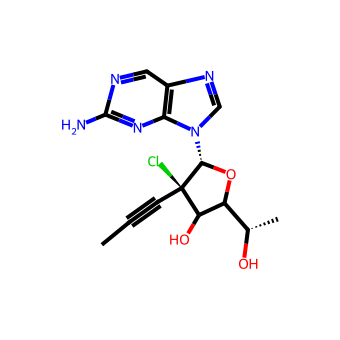 CC#C[C@@]1(Cl)C(O)C([C@H](C)O)O[C@H]1n1cnc2cnc(N)nc21